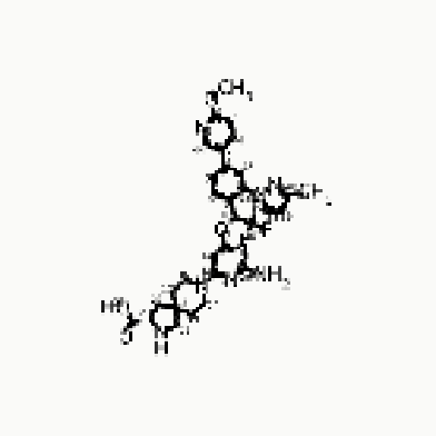 COc1ccc(-c2ccc(C(Oc3cc(N4CCC5(CC4)CN[C@H](C(=O)O)C5)nc(N)n3)C(F)(F)F)c(-n3ccc(C)n3)c2)cn1